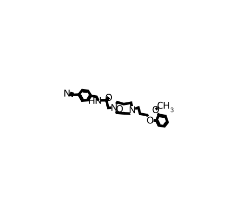 COc1ccccc1OCCCN1CC2CN(CC(=O)NCc3ccc(C#N)cc3)CC(C1)O2